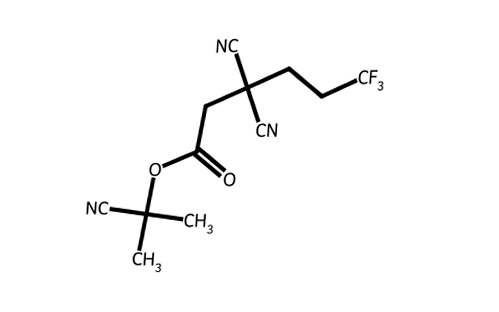 CC(C)(C#N)OC(=O)CC(C#N)(C#N)CCC(F)(F)F